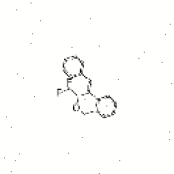 FC(F)C1OCc2ccccc2/C1=C/c1ccccc1